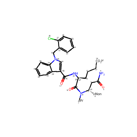 CCCCCCCCC[C@@H](CC(N)=O)N(CCC)C(=O)[C@H](CCCC(=O)O)NC(=O)c1cn(Cc2ccccc2Cl)c2ccccc12